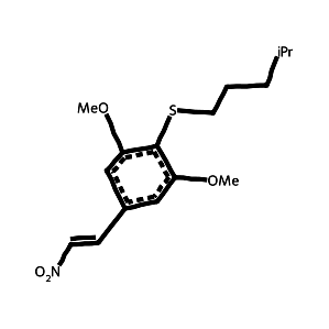 COc1cc(C=C[N+](=O)[O-])cc(OC)c1SCCCC(C)C